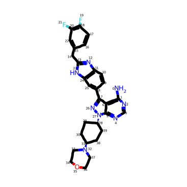 Nc1ncnc2c1c(-c1ccc3nc(Cc4ccc(F)c(F)c4)[nH]c3c1)nn2[C@H]1CC[C@H](N2CCOCC2)CC1